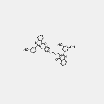 O=c1c2ccccc2nc(-c2cc(O)cc(O)c2)n1CCCCn1cc(Cn2c(-c3cccc(O)c3)nc3ccccc3c2=O)nn1